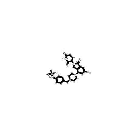 CS(=O)(=O)Nc1ccc(CN2CCN(c3cc(F)cc4c3CN(C3CCC(=O)NC3=O)C4=O)CC2)cc1